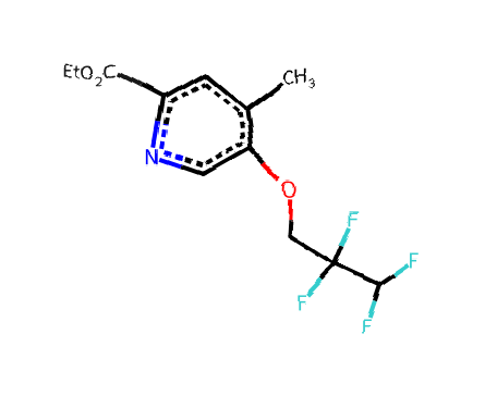 CCOC(=O)c1cc(C)c(OCC(F)(F)C(F)F)cn1